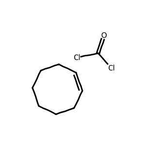 C1=CCCCCCC1.O=C(Cl)Cl